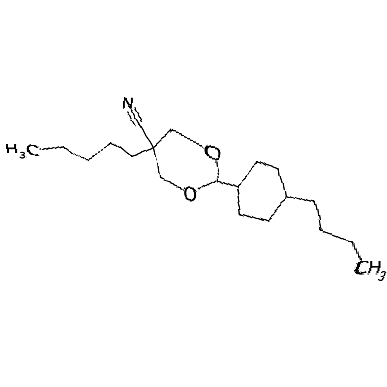 CCCCCC1(C#N)COC(C2CCC(CCCC)CC2)OC1